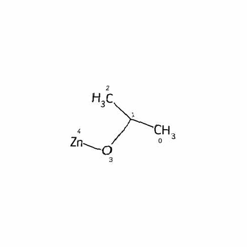 CC(C)[O][Zn]